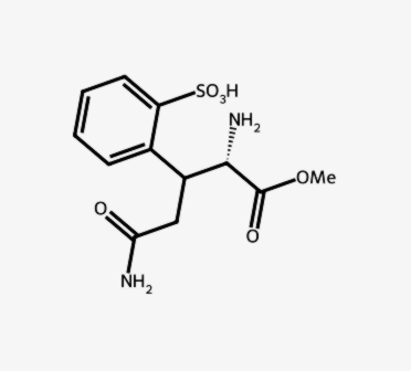 COC(=O)[C@@H](N)C(CC(N)=O)c1ccccc1S(=O)(=O)O